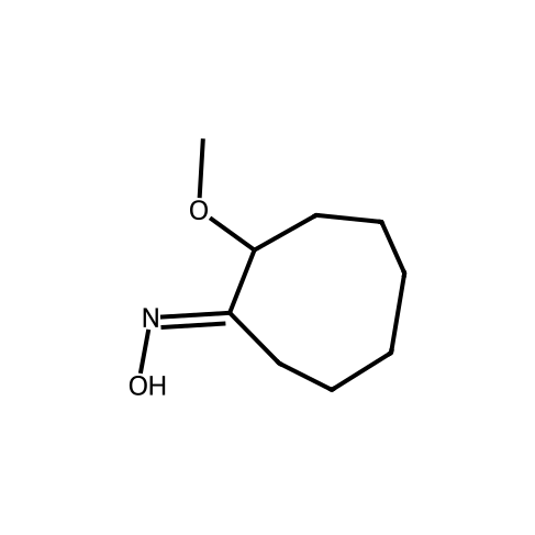 COC1CCCCCC/C1=N\O